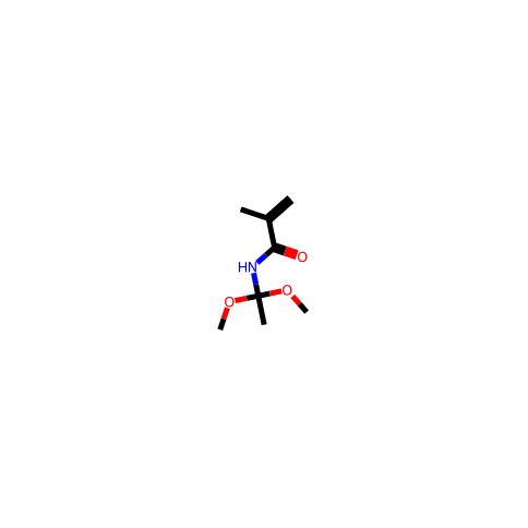 C=C(C)C(=O)NC(C)(OC)OC